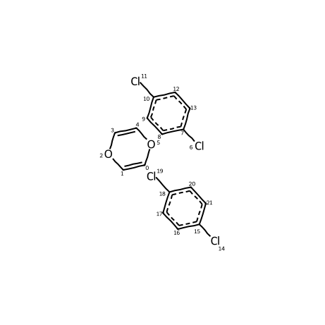 C1=COC=CO1.Clc1ccc(Cl)cc1.Clc1ccc(Cl)cc1